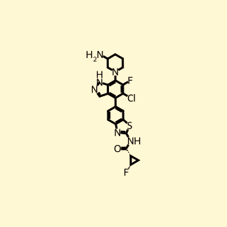 NC1CCCN(c2c(F)c(Cl)c(-c3ccc4nc(NC(=O)[C@@H]5C[C@@H]5F)sc4c3)c3cn[nH]c23)C1